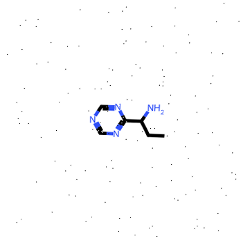 [CH2]CC(N)c1ncncn1